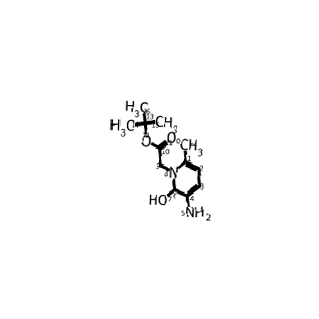 CC1=CC=C(N)C(O)N1CC(=O)OC(C)(C)C